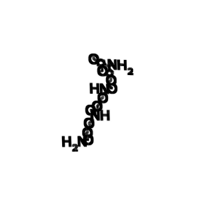 COc1ccc(C(N)c2ccc(OCC(=O)NCCOCCOCC(=O)NCCOCCOCC(N)=O)cc2)c(OC)c1